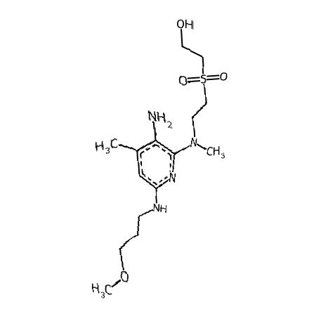 COCCCNc1cc(C)c(N)c(N(C)CCS(=O)(=O)CCO)n1